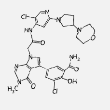 Cn1cnc2c(c(-c3cc(Cl)c(O)c(C(N)=O)c3)cn2CC(=O)Nc2cc(N3CCC(N4CCOCC4)C3)ncc2Cl)c1=O